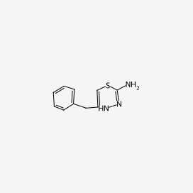 NC1=NNC(Cc2ccccc2)=CS1